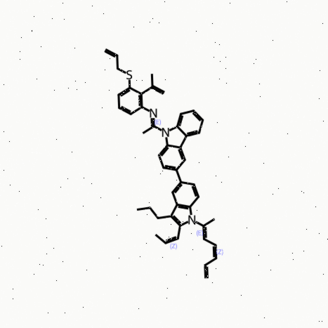 C=C/C=C\C=C(/C)n1c(/C=C\C)c(CCC)c2cc(-c3ccc4c(c3)c3ccccc3n4/C(C)=N/c3cccc(SCC=C)c3C(=C)C)ccc21